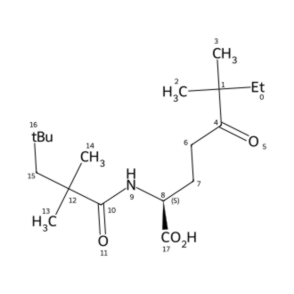 CCC(C)(C)C(=O)CC[C@H](NC(=O)C(C)(C)CC(C)(C)C)C(=O)O